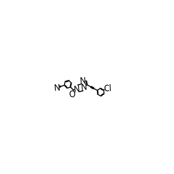 N#Cc1cccc(C(=O)N2CCn3c(C#Cc4cccc(Cl)c4)cnc3C2)c1